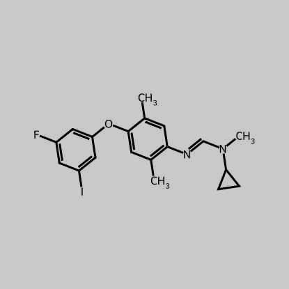 Cc1cc(Oc2cc(F)cc(I)c2)c(C)cc1N=CN(C)C1CC1